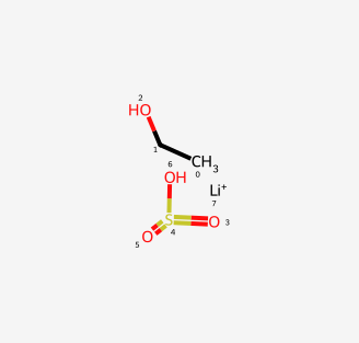 CCO.O=[S-](=O)O.[Li+]